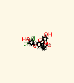 O=C1OC2(c3ccc(O)cc3Oc3cc(Oc4cc(Cl)c(O)c(Cl)c4)ccc32)c2ccccc21